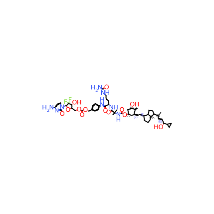 C=C1/C(=C\C=C2/CCC[C@@]3(C)C2CCC3[C@@H](C)/C=C/C(O)C2CC2)C[C@H](OC(=O)NC(C)(C)C(=O)NC(CCCNC(N)=O)C(=O)Nc2ccc(COC(=O)OCC3OC(n4ccc(N)nc4=O)C(F)(F)C3O)cc2)C[C@@H]1O